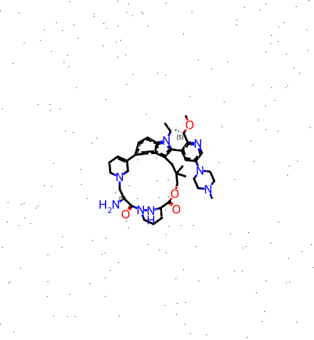 CCn1c(-c2cc(N3CCN(C)CC3)cnc2[C@H](C)OC)c2c3cc(ccc31)C1=CCCN(C1)C[C@H](N)C(=O)N1CCCC(N1)C(=O)OCC(C)(C)C2